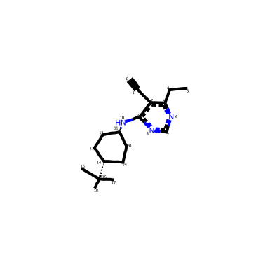 C#Cc1c(CC)ncnc1N[C@H]1CC[C@@H](C(C)(C)C)CC1